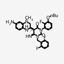 CCCCOc1cccc(N2C(=O)/C(=C3\CN(C)c4cc(N)ccc4N3)C(=N)N(Cc3c(F)cccc3F)C2=O)c1F